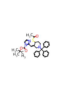 CC(=O)SC1CCN(C(c2ccccc2)(c2ccccc2)c2ccccc2)C/C1=C/c1nccn1C(=O)OC(C)(C)C